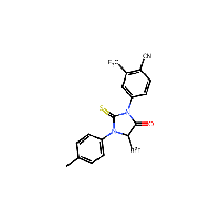 CCCC1C(=O)N(c2ccc(C#N)c(C(F)(F)F)c2)C(=S)N1c1ccc(C)cc1